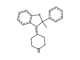 CC1(c2ccccc2)Sc2ccccc2C1=C1CCNCC1